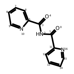 O=C(NC(=O)c1ccccn1)c1ccccn1